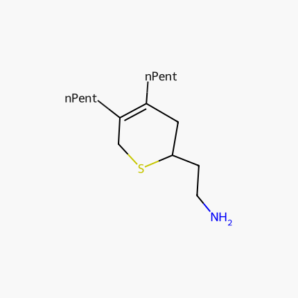 CCCCCC1=C(CCCCC)CC(CCN)SC1